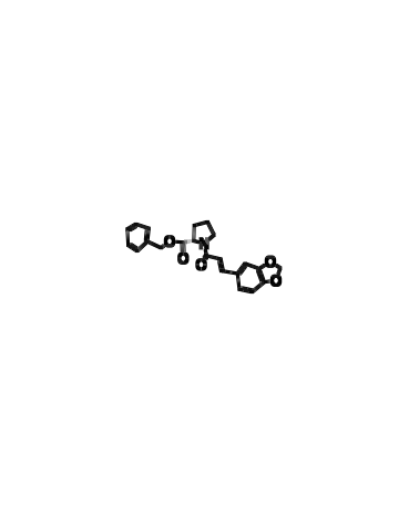 O=C(OCc1ccccc1)[C@@H]1CCCN1C(=O)C=Cc1ccc2c(c1)OCO2